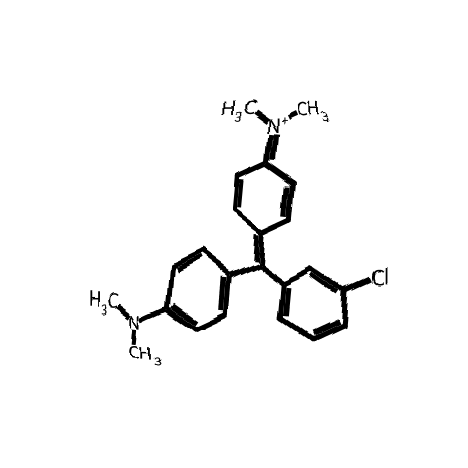 CN(C)c1ccc(C(=C2C=CC(=[N+](C)C)C=C2)c2cccc(Cl)c2)cc1